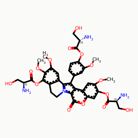 COc1cc(-c2c3n(c4c(=O)oc5cc(OC(=O)[C@@H](N)CO)c(OC)cc5c24)CCc2c-3cc(OC)c(OC)c2OC(=O)[C@@H](N)CO)ccc1OC(=O)[C@@H](N)CO